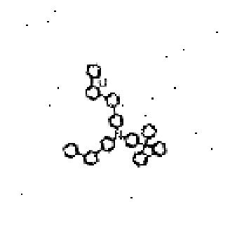 c1ccc(-c2cccc(-c3ccc(N(c4ccc(-c5cccc(-c6cccc7c6oc6ccccc67)c5)cc4)c4ccc(C5(c6ccccc6)c6ccccc6-c6ccccc65)cc4)cc3)c2)cc1